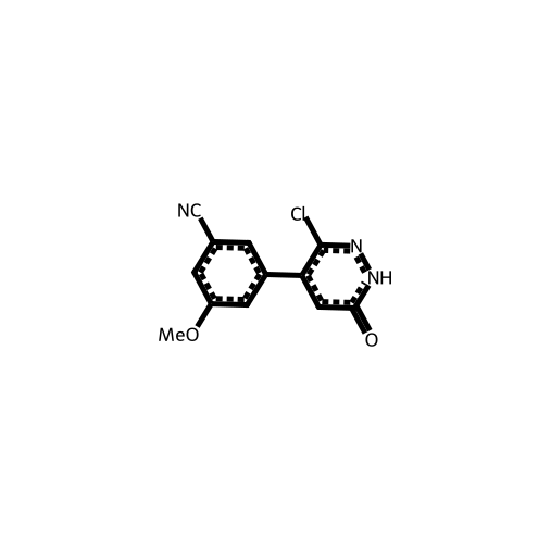 COc1cc(C#N)cc(-c2cc(=O)[nH]nc2Cl)c1